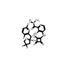 CN(C)C(=O)c1nccc(Nc2c(N[C@@H](c3nc(Cl)ccc3F)[C@]3(C)CC(F)(F)CO3)c(=O)c2=O)c1O